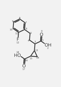 O=C(O)C(CCc1ccccc1F)C1CC1C(=O)O